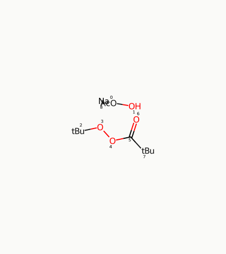 CC(=O)OO.CC(C)(C)OOC(=O)C(C)(C)C.[Na]